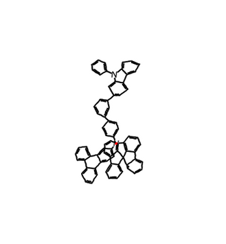 c1ccc(-n2c3ccccc3c3ccc(-c4cccc(-c5ccc(N(c6ccc7c8ccccc8c8ccccc8c7c6)c6cccc7c6C6(c8ccccc8-c8ccccc86)c6ccccc6-7)cc5)c4)cc32)cc1